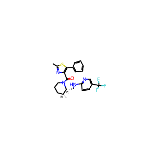 Cc1nc(C(=O)N2CCC[C@@H](C)[C@H]2CNc2ccc(C(F)(F)F)cn2)c(-c2ccccc2)s1